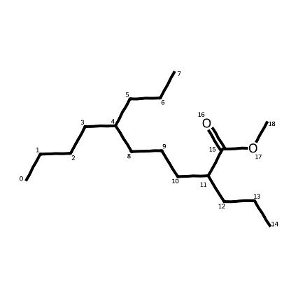 CCCCC(CCC)CCCC(CCC)C(=O)OC